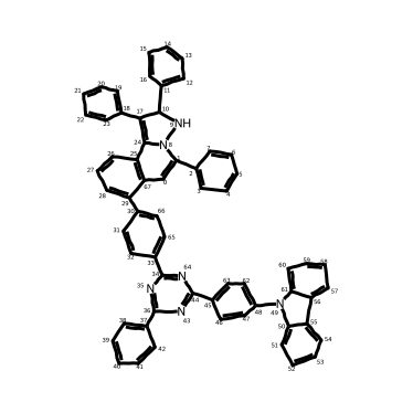 C1=C(c2ccccc2)N2NC(c3ccccc3)C(c3ccccc3)=C2c2cccc(-c3ccc(-c4nc(-c5ccccc5)nc(-c5ccc(-n6c7ccccc7c7ccccc76)cc5)n4)cc3)c21